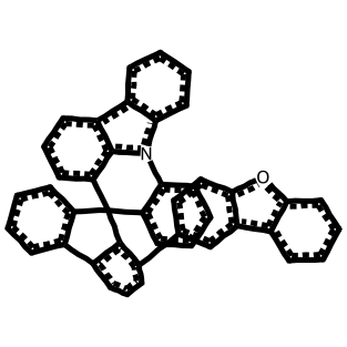 c1ccc2c(c1)-c1cccc(-c3ccc4oc5ccccc5c4c3)c1C21c2ccccc2-n2c3ccccc3c3cccc1c32